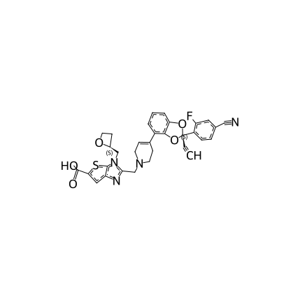 C#C[C@]1(c2ccc(C#N)cc2F)Oc2cccc(C3=CCN(Cc4nc5cc(C(=O)O)sc5n4C[C@@H]4CCO4)CC3)c2O1